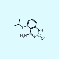 CC(C)Sc1cccc2c1C(N)=N[S+]([O-])N2